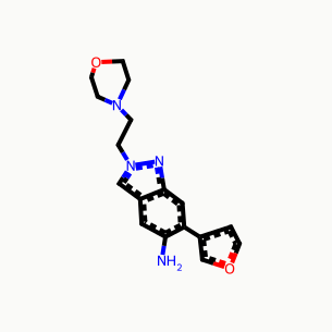 Nc1cc2cn(CCN3CCOCC3)nc2cc1-c1ccoc1